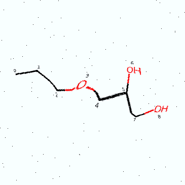 CCCO[CH]C(O)CO